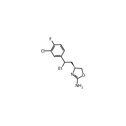 CCC(C[C@H]1COC(N)=N1)c1ccc(F)c(Cl)c1